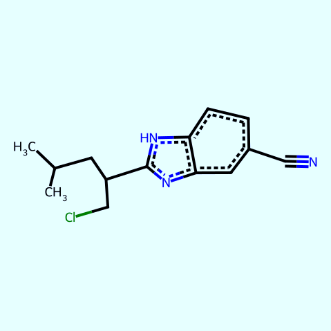 CC(C)CC(CCl)c1nc2cc(C#N)ccc2[nH]1